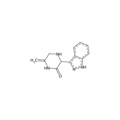 C=C1CNC(c2n[nH]c3ccccc23)C(=O)N1